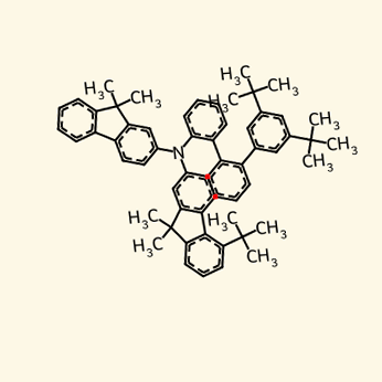 CC(C)(C)c1cc(-c2ccccc2-c2ccccc2N(c2ccc3c(c2)C(C)(C)c2ccccc2-3)c2ccc3c(c2)C(C)(C)c2cccc(C(C)(C)C)c2-3)cc(C(C)(C)C)c1